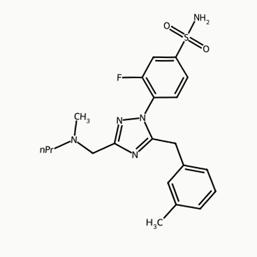 CCCN(C)Cc1nc(Cc2cccc(C)c2)n(-c2ccc(S(N)(=O)=O)cc2F)n1